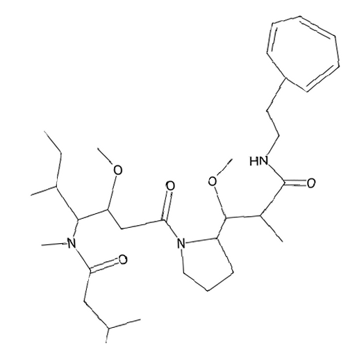 CCC(C)C(C(CC(=O)N1CCCC1C(OC)C(C)C(=O)NCCC1C=CC=CC=C1)OC)N(C)C(=O)CC(C)C